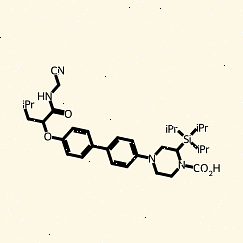 CC(C)CC(Oc1ccc(-c2ccc(N3CCN(C(=O)O)C([Si](C(C)C)(C(C)C)C(C)C)C3)cc2)cc1)C(=O)NCC#N